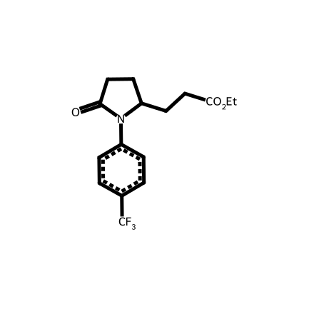 CCOC(=O)CCC1CCC(=O)N1c1ccc(C(F)(F)F)cc1